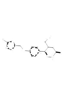 Cc1nnc(COc2ccc(C3=NNC(=O)CC3CO)cc2)o1